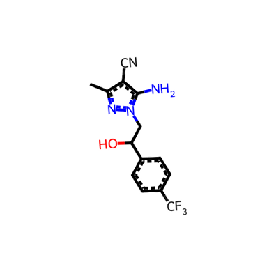 Cc1nn(CC(O)c2ccc(C(F)(F)F)cc2)c(N)c1C#N